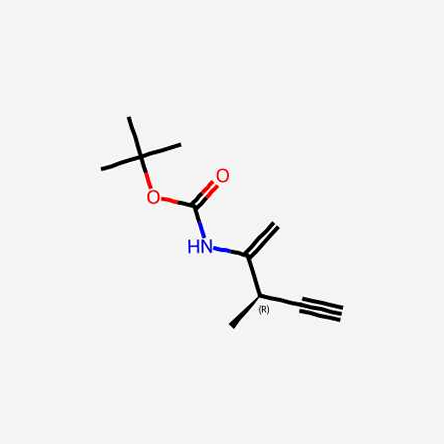 C#C[C@@H](C)C(=C)NC(=O)OC(C)(C)C